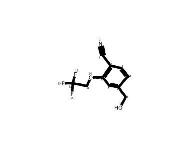 N#Cc1ccc(CO)cc1OCC(F)(F)F